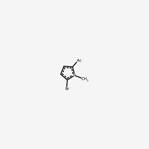 CC(=O)c1ccc(Br)n1C